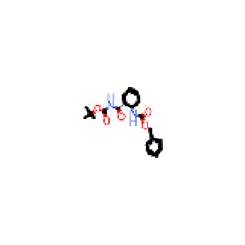 CC(C)(C)OC(=O)NC(=O)[C@@H]1CC=CC[C@@H]1NC(=O)OCc1ccccc1